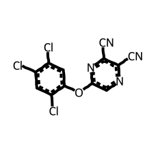 N#Cc1ncc(Oc2cc(Cl)c(Cl)cc2Cl)nc1C#N